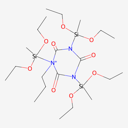 CCC[N+]1([Si](C)(OCC)OCC)C(=O)N([Si](C)(OCC)OCC)C(=O)N([Si](C)(OCC)OCC)C1=O